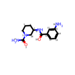 NC(=O)N1CCCC(NC(=O)c2cccc(N)c2)C1